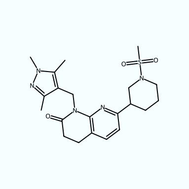 Cc1nn(C)c(C)c1CN1C(=O)CCc2ccc(C3CCCN(S(C)(=O)=O)C3)nc21